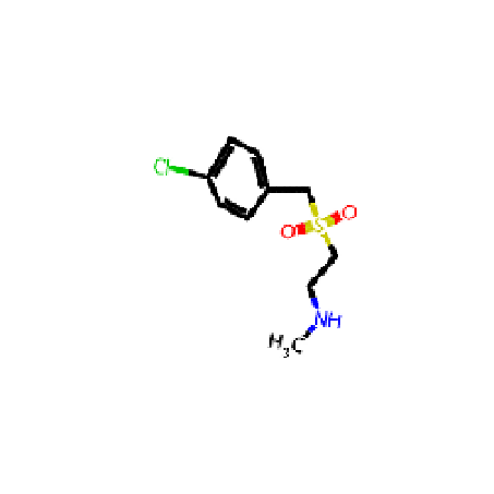 CNCCS(=O)(=O)Cc1ccc(Cl)cc1